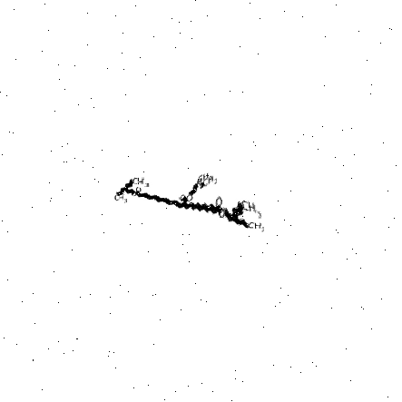 CCCCC(CCCC)CCOC(=O)CCCCCCCCCC(CCCCCCCCCC(=O)OCCC(CCCC)CCCC)C(=O)OCCCN(C)CC